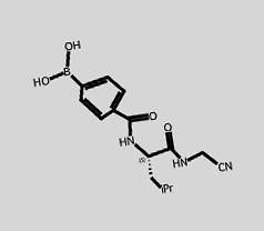 CC(C)C[C@H](NC(=O)c1ccc(B(O)O)cc1)C(=O)NCC#N